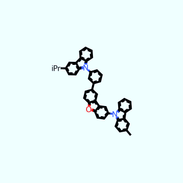 Cc1ccc2c(c1)c1ccccc1n2-c1ccc2oc3ccc(-c4cccc(-n5c6ccccc6c6cc(C(C)C)ccc65)c4)cc3c2c1